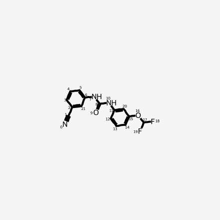 N#Cc1cccc(NC(=O)Nc2cccc(OC(F)F)c2)c1